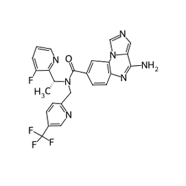 C[C@H](c1ncccc1F)N(Cc1ccc(C(F)(F)F)cn1)C(=O)c1ccc2nc(N)c3cncn3c2c1